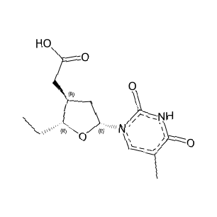 CC[C@H]1O[C@@H](n2cc(C)c(=O)[nH]c2=O)C[C@@H]1CC(=O)O